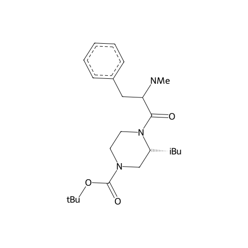 CC[C@@H](C)C1CN(C(=O)OC(C)(C)C)CCN1C(=O)C(Cc1ccccc1)NC